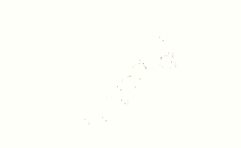 CN1CCN(CC(=O)Nc2cc3cc(-c4cnn5c4CN(CCF)CC5)ncc3cn2)CC1